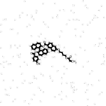 C=CC(=O)OCCCCOc1ccc2cc(C(=O)Oc3ccc4ccccc4c3-c3c(OC(=O)c4ccc(C#N)cc4)ccc4ccccc34)ccc2c1